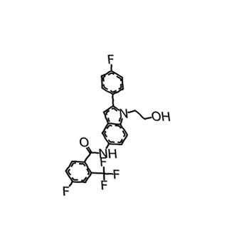 O=C(Nc1ccc2c(c1)cc(-c1ccc(F)cc1)n2CCO)c1ccc(F)cc1C(F)(F)F